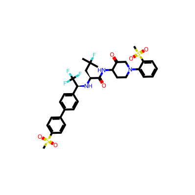 CC(C)(F)C[C@H](N[C@@H](c1ccc(-c2ccc(S(C)(=O)=O)cc2)cc1)C(F)(F)F)C(=O)NC1CCN(c2ccccc2S(C)(=O)=O)CC1=O